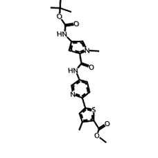 COC(=O)c1sc(-c2ccc(NC(=O)c3cc(NC(=O)OC(C)(C)C)cn3C)cn2)cc1C